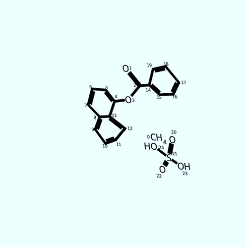 C.O=C(Oc1cccc2ccccc12)c1ccccc1.O=S(=O)(O)O